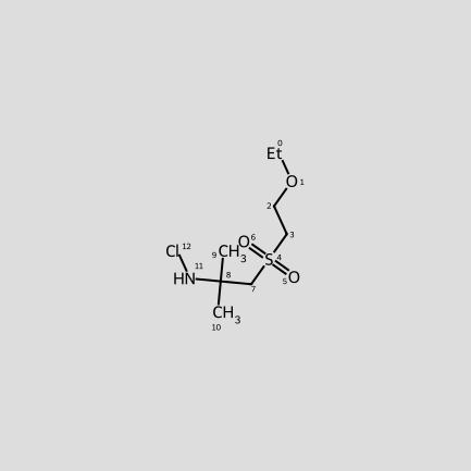 CCOCCS(=O)(=O)CC(C)(C)NCl